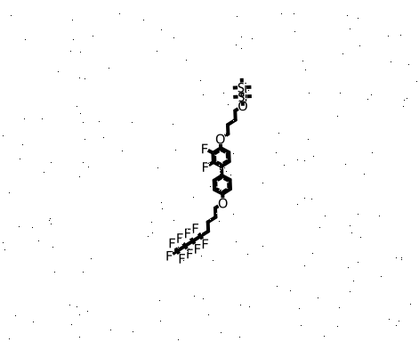 C[Si](C)(C)[Si](C)(C)OCCCCOc1ccc(-c2ccc(OCCCCC(F)(F)C(F)(F)C(F)(F)C(F)(F)F)cc2)c(F)c1F